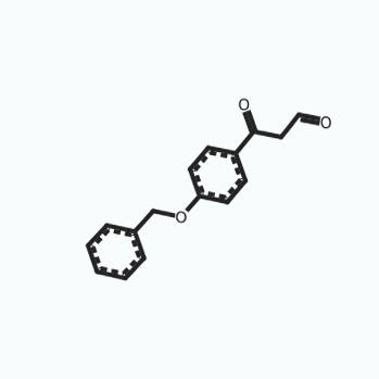 O=CCC(=O)c1ccc(OCc2ccccc2)cc1